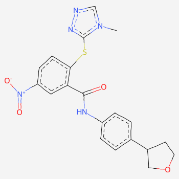 Cn1cnnc1Sc1ccc([N+](=O)[O-])cc1C(=O)Nc1ccc(C2CCOC2)cc1